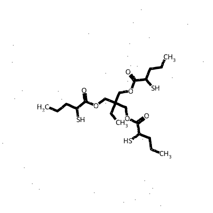 CCCC(S)C(=O)OCC(CC)(COC(=O)C(S)CCC)COC(=O)C(S)CCC